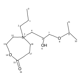 CCC[N+]1(CC(O)COC(C)C)CCOC(=O)CC1